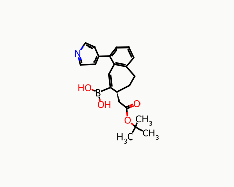 CC(C)(C)OC(=O)C[C@@H]1CCc2cccc(-c3ccncc3)c2C=C1B(O)O